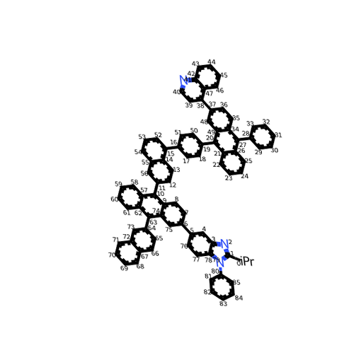 CC(C)c1nc2cc(-c3ccc4c(-c5ccc6c(-c7ccc(-c8c9ccccc9c(-c9ccccc9)c9ccc(-c%10ccnc%11ccccc%10%11)cc89)cc7)cccc6c5)c5ccccc5c(-c5ccc6ccccc6c5)c4c3)ccc2n1-c1ccccc1